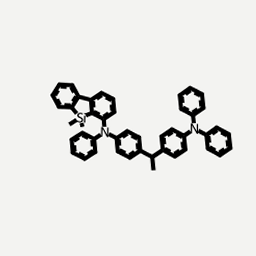 CC(c1ccc(N(c2ccccc2)c2ccccc2)cc1)c1ccc(N(c2ccccc2)c2cccc3c2[Si](C)(C)c2ccccc2-3)cc1